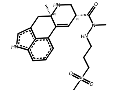 CN(NCCCS(C)(=O)=O)C(=O)[C@@H]1C=C2c3cccc4[nH]cc(c34)C[C@@]2(C)NC1